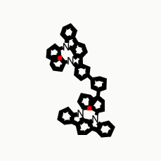 c1ccc(-n2c3ccccc3c3ccc4c5ccccc5n(-c5ccc(-c6cccc(-c7ccc8c(c7)c7ccc9c%10ccccc%10n(-c%10ccccc%10)c9c7n8-c7ccccc7)c6)cc5)c4c32)cc1